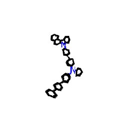 c1ccc(-c2ccc(-c3ccc(N(c4ccccc4)c4ccc(-c5ccc(-n6c7ccccc7c7c8ccccc8ccc76)cc5)cc4)cc3)cc2)cc1